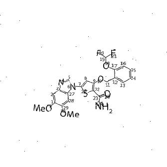 COc1cc2ncn(-c3cc(OCc4ccccc4OC(F)F)c(C(N)=O)s3)c2cc1OC